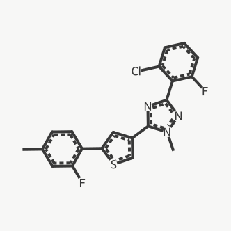 Cc1ccc(-c2cc(-c3nc(-c4c(F)cccc4Cl)nn3C)cs2)c(F)c1